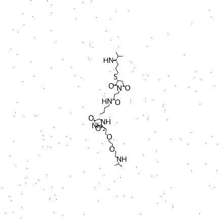 CC(C)NCCOCCOCCC(=O)N[C@@H](CCCCNC(=O)CCN1C(=O)CC(SCCCC(=N)C(C)C)C1=O)C(N)=O